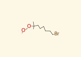 COCOC(C)(C)CCCCCCBr